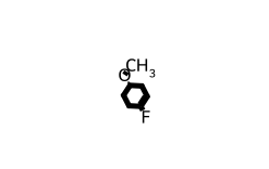 CO[C@@H]1CC=C(F)CC1